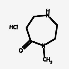 CN1CCNCCC1=O.Cl